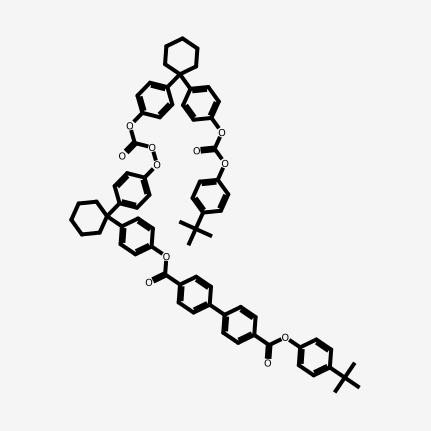 CC(C)(C)c1ccc(OC(=O)Oc2ccc(C3(c4ccc(OC(=O)OOc5ccc(C6(c7ccc(OC(=O)c8ccc(-c9ccc(C(=O)Oc%10ccc(C(C)(C)C)cc%10)cc9)cc8)cc7)CCCCC6)cc5)cc4)CCCCC3)cc2)cc1